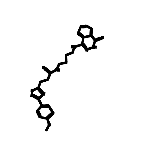 COc1ccc(-c2noc(CCC(=O)NCCCCNc3n[nH]c(=O)c4ccccc34)n2)cc1